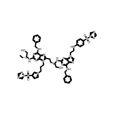 CC[C@H](CO)Nc1nc(NCc2ccccc2)c2nc(CC[C@H](CO)Nc3nc(NCc4ccccc4)c4ncn(CCNc5ccc(S(=O)(=O)n6cncn6)cc5)c4n3)n(CCCn3ccc(S(=O)(=O)n4cncn4)c3)c2n1